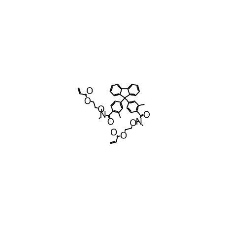 C=CC(=O)OCCON(C)C(=O)c1ccc(C2(c3ccc(C(=O)N(C)OCCOC(=O)C=C)c(C)c3)c3ccccc3-c3ccccc32)cc1C